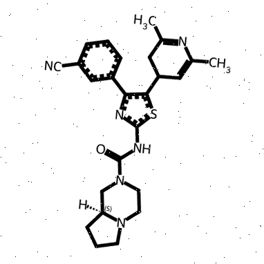 CC1=CC(c2sc(NC(=O)N3CCN4CCC[C@H]4C3)nc2-c2cccc(C#N)c2)CC(C)=N1